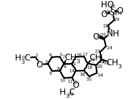 CCOC1CCC2(C)C(C1)CC(OC)C1C2CCC2(C)C(C(C)CCC(=O)NCCS(=O)(=O)O)CCC12